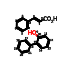 O=C(O)C=Cc1ccccc1.Oc1ccccc1-c1ccccc1